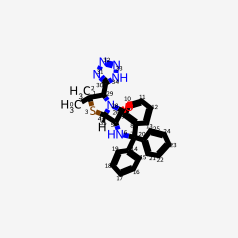 CC1(C)S[C@H]2C(NC(c3ccccc3)(c3ccccc3)c3ccccc3)C(=O)N2C1c1nnn[nH]1